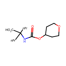 CCCC(CCC)(NC(=O)OC1CCOCC1)C(=O)O